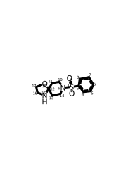 O=S(=O)(c1ccccc1)N1CCC2(CC1)NCCO2